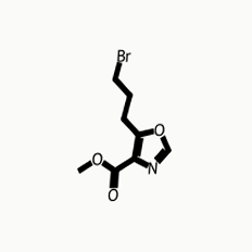 COC(=O)c1ncoc1CCCBr